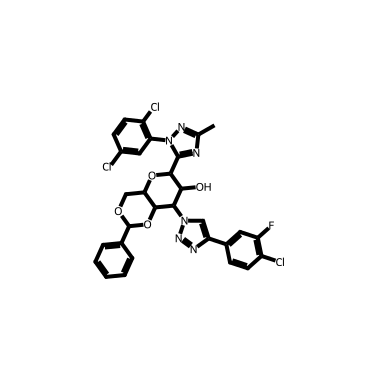 Cc1nc(C2OC3COC(c4ccccc4)OC3C(n3cc(-c4ccc(Cl)c(F)c4)nn3)C2O)n(-c2cc(Cl)ccc2Cl)n1